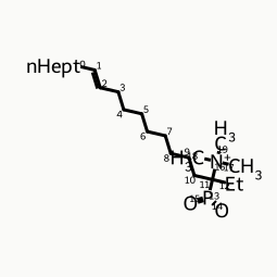 CCCCCCCC=CCCCCCCCCC(CC)(P(=O)=O)[N+](C)(C)C